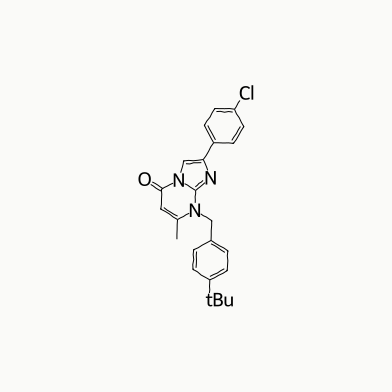 Cc1cc(=O)n2cc(-c3ccc(Cl)cc3)nc2n1Cc1ccc(C(C)(C)C)cc1